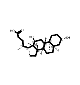 C[C@H](CCC(=O)O)[C@H]1CC[C@H]2[C@@H]3CC[C@@H]4C[C@@H](S)CC[C@]4(C)[C@H]3C[C@H](O)[C@]12C